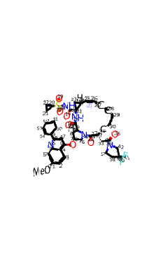 COc1ccc2c(O[C@@H]3C[C@H]4C(=O)N[C@]5(C(=O)NS(=O)(=O)C6CC6)C[C@H]5/C=C\CCCCC[C@H](CC(=O)N5CCC(F)(F)C5)C(=O)N4C3)cc(-c3ccccc3)nc2c1